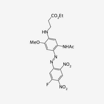 CCOC(=O)CCNc1cc(NC(C)=O)c(/N=N/c2cc(F)c([N+](=O)[O-])cc2[N+](=O)[O-])cc1OC